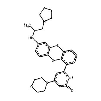 CC(CN1CCCC1)Nc1ccc2c(c1)Sc1cccc(-c3cc(N4CCOCC4)cc(=O)[nH]3)c1S2